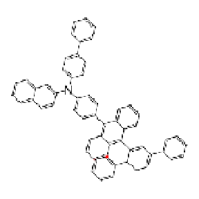 C1=C(c2ccccc2)C=C(c2c3ccccc3c(-c3ccc(N(c4ccc(-c5ccccc5)cc4)c4ccc5ccccc5c4)cc3)c3ccccc23)C(c2ccccc2)C1